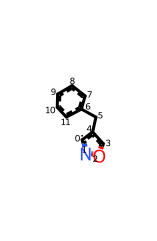 [c]1nocc1Cc1ccccc1